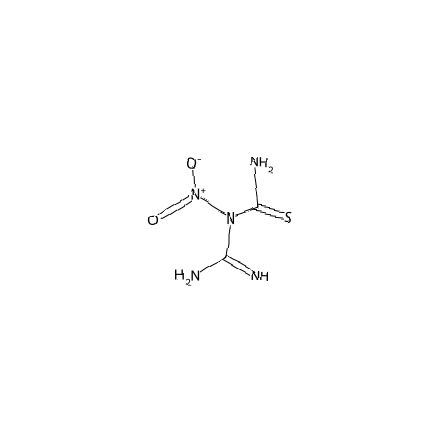 N=C(N)N(C(N)=S)[N+](=O)[O-]